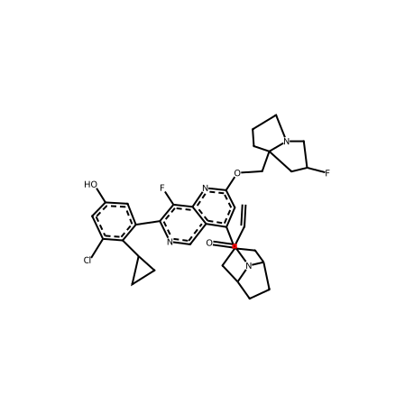 C=CC(=O)N1C2CCC1CC(c1cc(OCC34CCCN3CC(F)C4)nc3c(F)c(-c4cc(O)cc(Cl)c4C4CC4)ncc13)C2